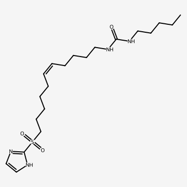 CCCCCNC(=O)NCCCC/C=C\CCCCCS(=O)(=O)c1ncc[nH]1